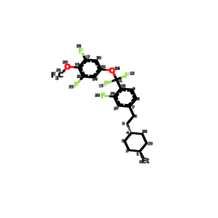 CC[C@H]1CC[C@H](CCc2ccc(C(F)(F)Oc3cc(F)c(OC(F)(F)F)c(F)c3)c(F)c2)CC1